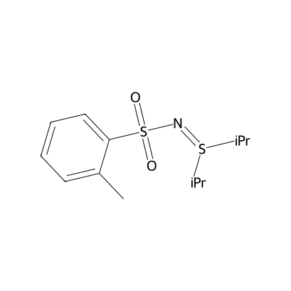 Cc1ccccc1S(=O)(=O)N=S(C(C)C)C(C)C